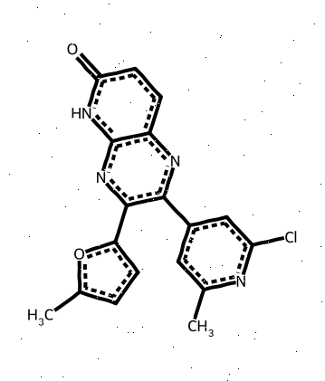 Cc1cc(-c2nc3ccc(=O)[nH]c3nc2-c2ccc(C)o2)cc(Cl)n1